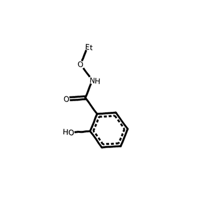 CCONC(=O)c1ccccc1O